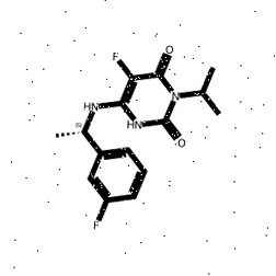 CC(C)n1c(=O)[nH]c(N[C@@H](C)c2cccc(F)c2)c(F)c1=O